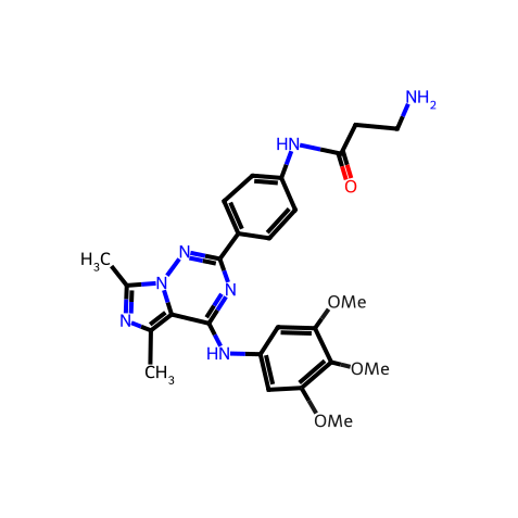 COc1cc(Nc2nc(-c3ccc(NC(=O)CCN)cc3)nn3c(C)nc(C)c23)cc(OC)c1OC